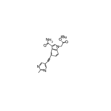 Cc1ncc(C#Cc2ccc3c(c2)c(C(N)=O)cn3CC(=O)OC(C)(C)C)cn1